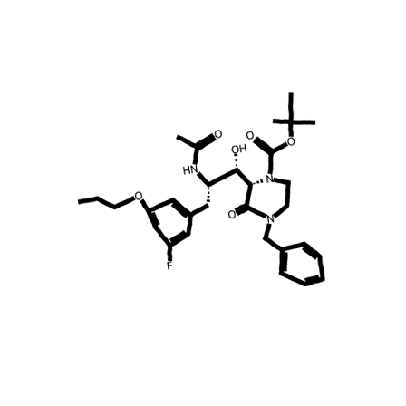 CCCOc1cc(F)cc(C[C@H](NC(C)=O)[C@H](O)[C@H]2C(=O)N(Cc3ccccc3)CCN2C(=O)OC(C)(C)C)c1